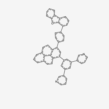 c1cncc(-c2cc(-c3cccnc3)cc(-c3cc(-c4ccc(-c5cccc6c5oc5ccccc56)cc4)c4ccc5cccc6ccc3c4c56)c2)c1